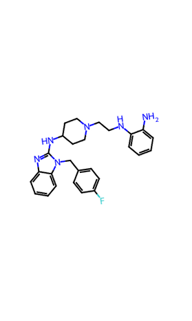 Nc1ccccc1NCCN1CCC(Nc2nc3ccccc3n2Cc2ccc(F)cc2)CC1